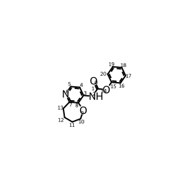 O=C(Nc1ccnc2c1OCCCC2)Oc1ccccc1